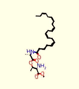 CC/C=C\C/C=C\C/C=C\C/C=C\C/C=C\CCCC(=O)N[C@@H](C)C(=O)O[C@H](C)[C@H](N)C(=O)OC